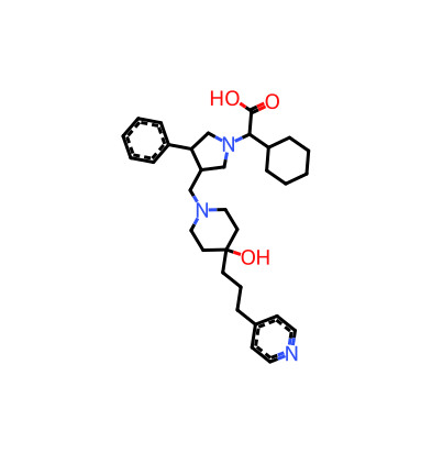 O=C(O)C(C1CCCCC1)N1CC(CN2CCC(O)(CCCc3ccncc3)CC2)C(c2ccccc2)C1